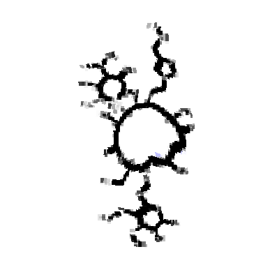 CC[C@H]1OC(=O)C[C@@H](O)[C@H](C)[C@@H](O[C@@H]2O[C@H](C)[C@@H](O)C(N(C)C)C2O)[C@@H](CCn2cc(CNC)nn2)C[C@@H](C)C(=O)/C=C/C(C)=C/[C@@H]1COC1=C(OC)[C@@H](OC)[C@H](O)C(C)O1